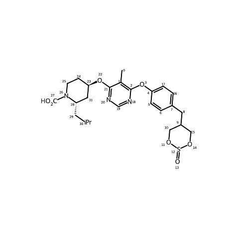 Cc1c(Oc2ccc(CC3COS(=O)OC3)cc2)ncnc1O[C@@H]1CCN(C(=O)O)[C@@H](CC(C)C)C1